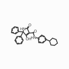 O=C(Nc1ccc(C2CCCCC2)cc1)C1=C(O)C(c2ccccc2)(c2ccccc2)NC1=O